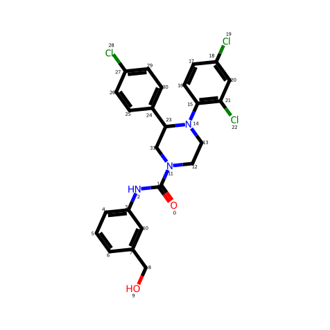 O=C(Nc1cccc(CO)c1)N1CCN(c2ccc(Cl)cc2Cl)C(c2ccc(Cl)cc2)C1